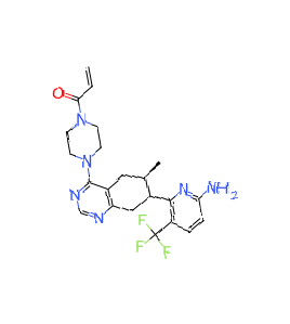 C=CC(=O)N1CCN(c2ncnc3c2C[C@@H](C)C(c2nc(N)ccc2C(F)(F)F)C3)CC1